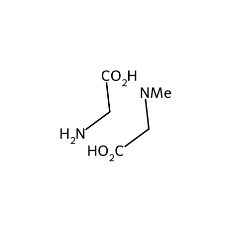 CNCC(=O)O.NCC(=O)O